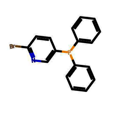 Brc1ccc(P(c2ccccc2)c2ccccc2)cn1